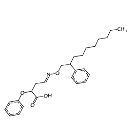 CCCCCCCCC(CON=CCC(Oc1ccccc1)C(=O)O)c1ccccc1